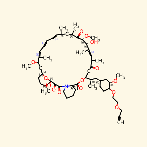 C#CCOCCOC1CC[C@@H](C[C@@H](C)C2CC(=O)C(C)/C=C(\C)[C@@H](O)[C@@H](OC)C(=O)[C@H](C)C[C@H](C)/C=C/C=C/C=C(\C)C(OC)C[C@@H]3CC[C@@H](C)[C@@](O)(O3)C(=O)C(=O)N3CCCC[C@H]3C(=O)O2)C[C@H]1OC